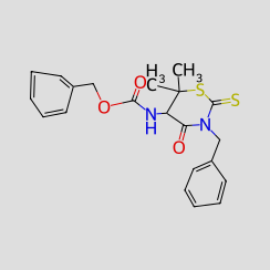 CC1(C)SC(=S)N(Cc2ccccc2)C(=O)C1NC(=O)OCc1ccccc1